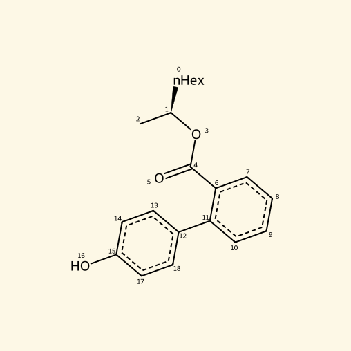 CCCCCC[C@H](C)OC(=O)c1ccccc1-c1ccc(O)cc1